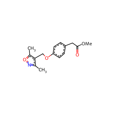 COC(=O)Cc1ccc(OCc2c(C)noc2C)cc1